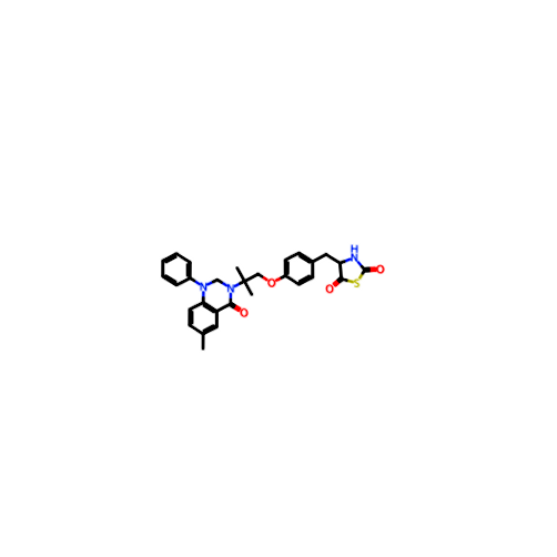 Cc1ccc2c(c1)C(=O)N(C(C)(C)COc1ccc(CC3NC(=O)SC3=O)cc1)CN2c1ccccc1